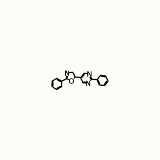 c1ccc(C2=NCC(c3cnc(-c4ccccc4)nc3)O2)cc1